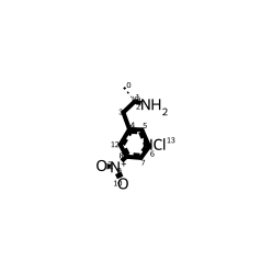 C[C@H](N)Cc1cccc([N+](=O)[O-])c1.Cl